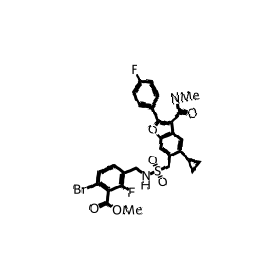 CNC(=O)c1c(-c2ccc(F)cc2)oc2cc(CS(=O)(=O)NCc3ccc(Br)c(C(=O)OC)c3F)c(C3CC3)cc12